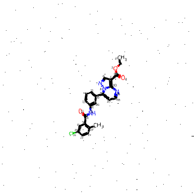 CCOC(=O)c1cnn2c(-c3cccc(NC(=O)c4cc(Cl)ccc4C)c3)ccnc12